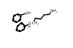 CCCCCN.Oc1ccccc1.Oc1ccccc1